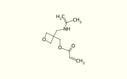 C=CC(=O)OCC1(CNC(=C)C)COC1